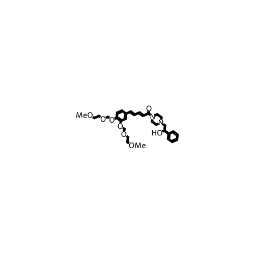 COCCOCOc1ccc(C=CC=CC(=O)N2CCN(CC(O)c3ccccc3)CC2)cc1OCOCCOC